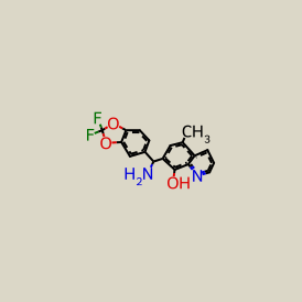 Cc1cc(C(N)c2ccc3c(c2)OC(F)(F)O3)c(O)c2ncccc12